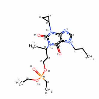 CCCn1cnc2c1c(=O)n(C(C)CCOP(=O)(CC)OCC)c(=O)n2C1CC1